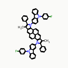 Cc1c(-c2ccccc2)n(-c2ccc3c(c2)c2ccccc2n3-c2ccc(F)cc2)c2c1cc1ccc3c4c(ccc2c14)cc1c(C)c(-c2ccccc2)n(-c2ccc4c(c2)c2ccccc2n4-c2ccc(F)cc2)c13